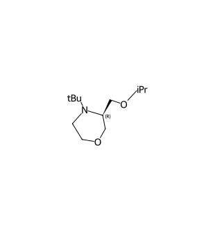 CC(C)OC[C@H]1COCCN1C(C)(C)C